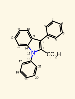 O=C(O)c1c(-c2ccccc2)c2ccccc2n1-c1ccccc1